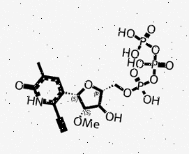 C#Cc1[nH]c(=O)c(C)cc1[C@@H]1O[C@H](COP(=O)(O)OP(=O)(O)OP(=O)(O)O)C(O)[C@@H]1OC